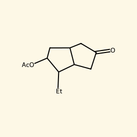 CCC1C(OC(C)=O)CC2CC(=O)CC21